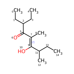 CCC(CC)C(=O)/C(C)=C(\O)C(C)CC